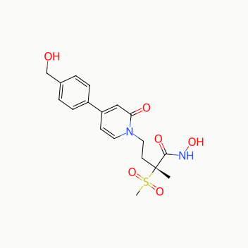 C[C@@](CCn1ccc(-c2ccc(CO)cc2)cc1=O)(C(=O)NO)S(C)(=O)=O